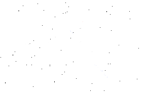 CCCCOCC1(CN=[N+]=[N-])CCCC2(CN(Cc3ccc(OC)cc3)C(=O)O2)C1